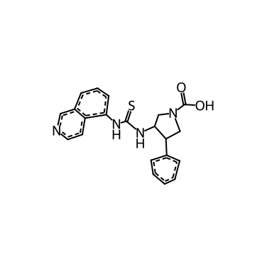 O=C(O)N1CC(NC(=S)Nc2cccc3cnccc23)C(c2ccccc2)C1